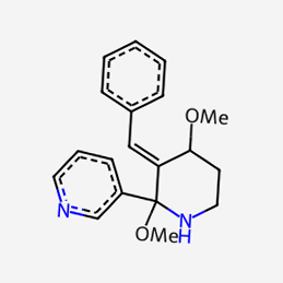 COC1CCNC(OC)(c2cccnc2)C1=Cc1ccccc1